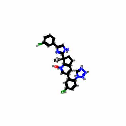 CC1(c2nc(-c3cccc(F)c3)c[nH]2)CCc2cc(-c3cc(Cl)ccc3-n3cnnn3)c[n+]([O-])c21